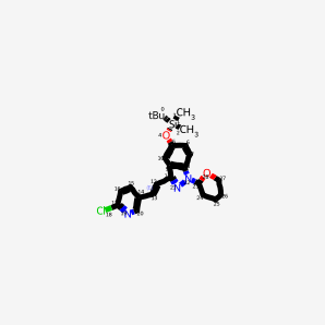 CC(C)(C)[Si](C)(C)Oc1ccc2c(c1)c(/C=C/c1ccc(Cl)nc1)nn2C1CCCCO1